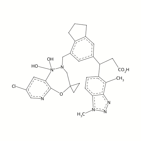 Cc1c(C(CC(=O)O)c2cc3c(c(CN4CC5(CC5)Oc5ncc(Cl)cc5[N+]4(O)O)c2)CCC3)ccc2c1nnn2C